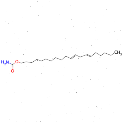 CCCCCC=CCC=CCCCCCCCCCCOC(N)=O